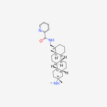 CN[C@]1(C)CC[C@H]2[C@H](CC[C@@H]3[C@@H]2CC[C@]2(C)[C@@H](CNC(=O)c4ccccn4)CCC[C@@H]32)C1